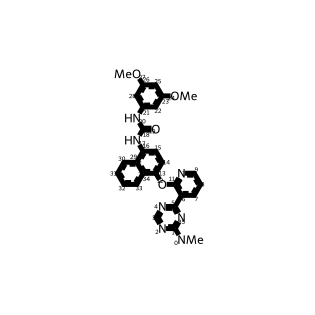 CNc1ncnc(-c2cccnc2Oc2ccc(NC(=O)Nc3cc(OC)cc(OC)c3)c3ccccc23)n1